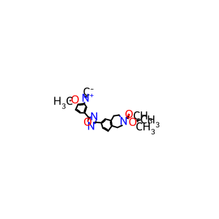 [C-]#[N+]c1cc(-c2nc(-c3ccc4c(c3)CCN(C(=O)OC(C)(C)C)CC4)no2)ccc1OC